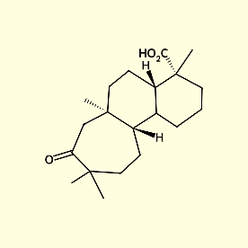 CC1(C)CC[C@H]2C3CCC[C@@](C)(C(=O)O)[C@H]3CC[C@]2(C)CC1=O